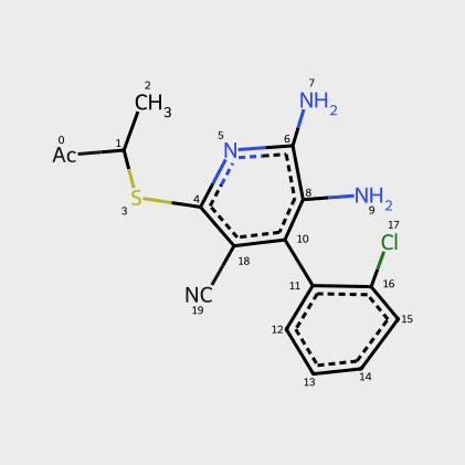 CC(=O)C(C)Sc1nc(N)c(N)c(-c2ccccc2Cl)c1C#N